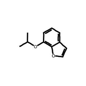 CC(C)Oc1cccc2ccoc12